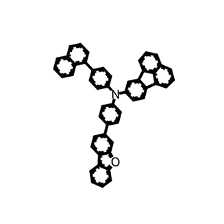 c1ccc2c(-c3ccc(N(c4ccc(-c5ccc6c(c5)oc5ccccc56)cc4)c4ccc5c(c4)-c4cccc6cccc-5c46)cc3)cccc2c1